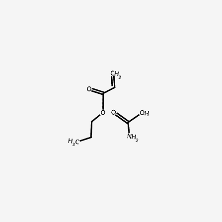 C=CC(=O)OCCC.NC(=O)O